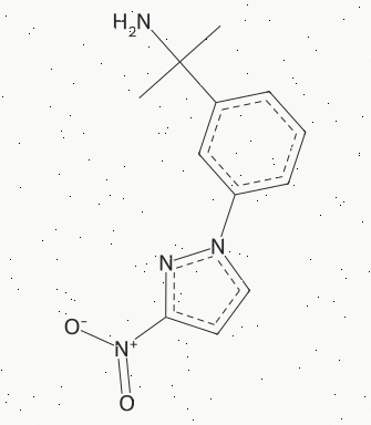 CC(C)(N)c1cccc(-n2ccc([N+](=O)[O-])n2)c1